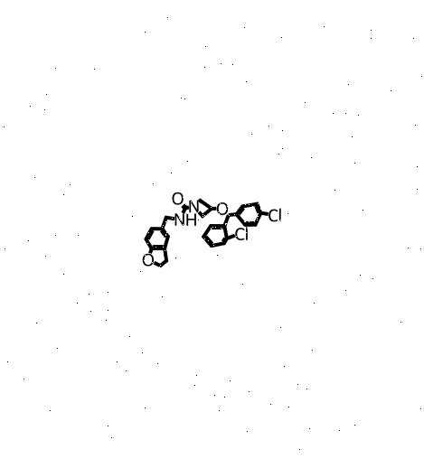 O=C(NCc1ccc2c(c1)CCO2)N1CC(OC(c2ccc(Cl)cc2)c2ccccc2Cl)C1